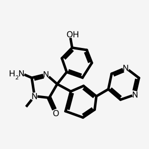 CN1C(=O)C(c2cccc(O)c2)(c2cccc(-c3cncnc3)c2)N=C1N